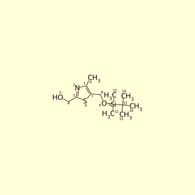 Cc1nc(CO)sc1CO[Si](C)(C)C(C)(C)C